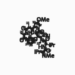 CCC(C)[C@@H]([C@@H](CC(=O)N1C[C@H](OC)C[C@@H]1[C@H](OC)[C@@H](C)C(=O)N[C@H](C)C(=O)c1ccccc1)OC)N(C)C(=O)[C@@H](NC(=O)[C@@H](NC)C(C)C)C(C)C